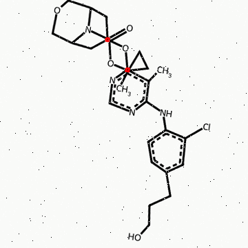 Cc1c(Nc2ccc(CCCO)cc2Cl)ncnc1OC1CC2COCC(C1)N2C(=O)OC1(C)CC1